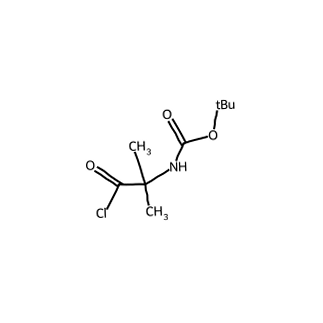 CC(C)(C)OC(=O)NC(C)(C)C(=O)Cl